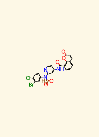 O=C(Nc1ccnc(N(c2ccc(Cl)c(Br)c2)[SH](=O)=O)c1)c1cccc2ccc(=O)oc12